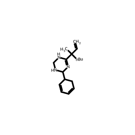 C=CC(C)(CCCC)C1=NC(C2C=CC=CC2)NCN1